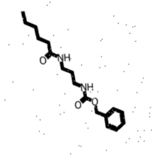 CCCCCC(=O)NCCCNC(=O)OCc1ccccc1